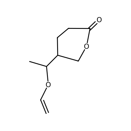 C=COC(C)C1CCC(=O)OC1